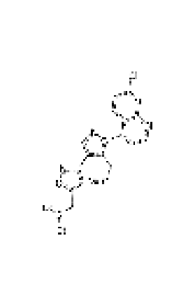 CC[S+]([O-])Cc1cc(-c2cnn(-c3ccnc4cc(Cl)ccc34)c2COC)no1